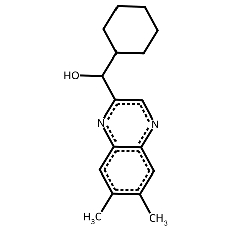 Cc1cc2ncc(C(O)C3CCCCC3)nc2cc1C